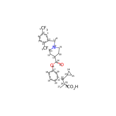 CC(c1cc(C(F)(F)F)ccc1C(F)(F)F)N1CCC(C(=O)Oc2cccc([C@H](C3CC3)[C@H](C)C(=O)O)c2)CC1